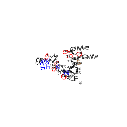 CCNC(=O)Nc1ccccc1CS(=O)(=O)N1CCC(N(C(=O)C(F)(F)F)c2cccc(-c3cc(OCC(=O)OC)c(C(=O)OC)s3)c2)CC1